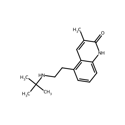 Cc1cc2c(CCNC(C)(C)C)cccc2[nH]c1=O